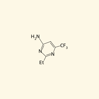 CCc1nc(N)cc(C(F)(F)F)n1